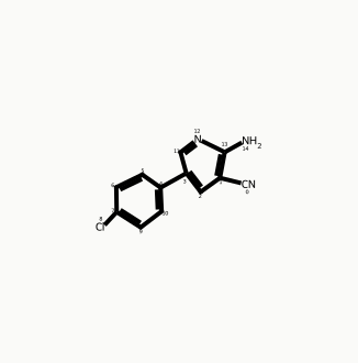 N#Cc1cc(-c2ccc(Cl)cc2)cnc1N